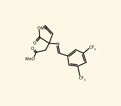 C=CC(CC(=O)OC)(N=Cc1cc(C(F)(F)F)cc(C(F)(F)F)c1)C(=O)OC